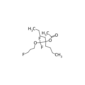 CCCCC(CCCC)(OC(C)=O)C(F)(F)OCCCF